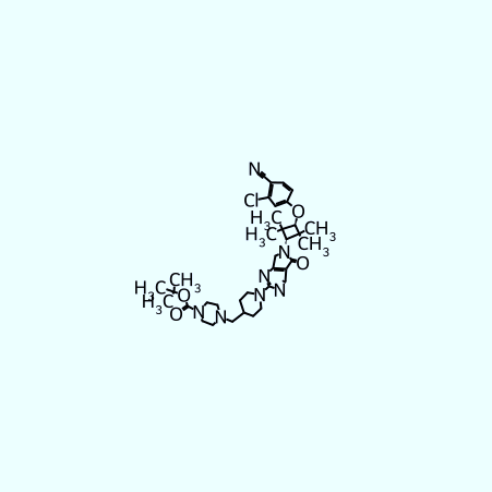 CC(C)(C)OC(=O)N1CCN(CC2CCN(c3ncc4c(n3)CN([C@H]3C(C)(C)[C@H](Oc5ccc(C#N)c(Cl)c5)C3(C)C)C4=O)CC2)CC1